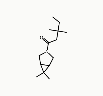 CCC(C)(C)CC(=O)N1CC2C(C1)C2(C)C